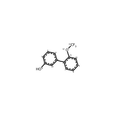 Oc1cccc(-c2ccc[c]c2OC(F)(F)F)c1